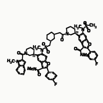 CNC(=O)c1c(-c2ccc(F)cc2)oc2cc(N(C)S(C)(=O)=O)c([C@@H]3CCCN(C(=O)CC4CCCC(CS(=O)(=O)N(C)c5cc6oc(-c7ccc(F)cc7)c(C(=O)NC)c6cc5[C@@H]5CCCN(C(=O)c6cc7ccccc7n6C)C5)C4)C3)cc12